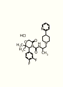 CC(CN1CCC(c2ccccn2)CC1)NC(=O)N1C(=O)COC(C)(C)C1c1ccc(F)c(F)c1.Cl